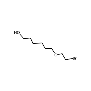 OCCCCCCOCCBr